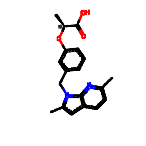 Cc1ccc2cc(C)n(Cc3cccc(O[C@@H](C)C(=O)O)c3)c2n1